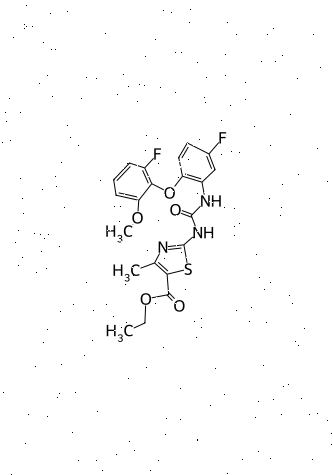 CCOC(=O)c1sc(NC(=O)Nc2cc(F)ccc2Oc2c(F)cccc2OC)nc1C